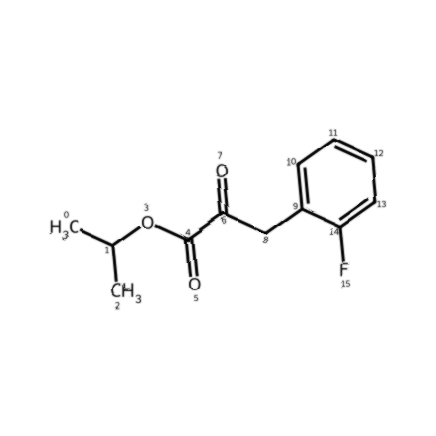 CC(C)OC(=O)C(=O)Cc1ccccc1F